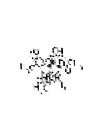 CC(=O)O[C@H]1CC(C)(C)[C@]2(O)[C@@H](OC(C)=O)Cc3c(cc4c(c3C)CCO4)[C@@]2(C)[C@H]1OC(C)=O